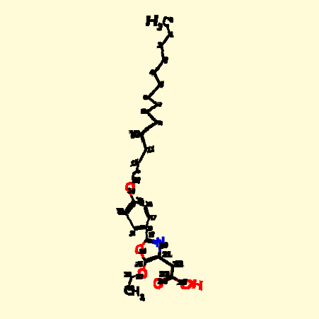 CCCCCCCCCCCCCCOc1ccc(-c2nc(CC(=O)O)c(OCC)o2)cc1